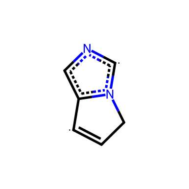 [C]1=CCn2[c]ncc21